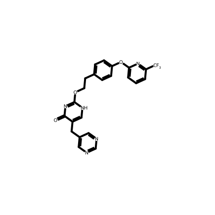 O=c1nc(OCCc2ccc(Oc3cccc(C(F)(F)F)n3)cc2)[nH]cc1Cc1cncnc1